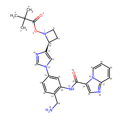 CC(C)(C)C(=O)ON1CC[C@H]1c1cn(-c2ccc(CN)c(NC(=O)c3cnc4ccccn34)c2)cn1